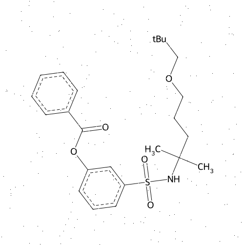 CC(C)(C)COCCCC(C)(C)NS(=O)(=O)c1cccc(OC(=O)c2ccccc2)c1